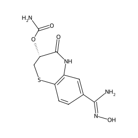 NC(=O)O[C@H]1CSc2ccc(/C(N)=N/O)cc2NC1=O